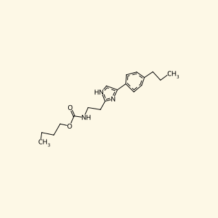 CCCCOC(=O)NCCc1nc(-c2ccc(CCC)cc2)c[nH]1